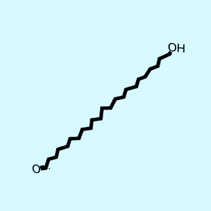 O=[C]CCCCCCCCCCCCCCCCCCCCCCO